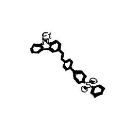 CCn1c2ccccc2c2cc(C=Cc3ccc(-c4ccc(S(=O)(=O)c5ccccc5)cc4)cc3)ccc21